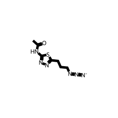 CC(=O)Nc1nnc(CCCN=[N+]=[N-])s1